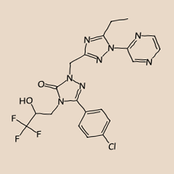 CCc1nc(Cn2nc(-c3ccc(Cl)cc3)n(CC(O)C(F)(F)F)c2=O)nn1-c1cnccn1